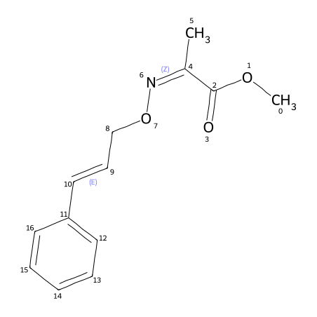 COC(=O)/C(C)=N\OC/C=C/c1ccccc1